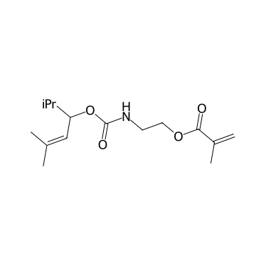 C=C(C)C(=O)OCCNC(=O)OC(C=C(C)C)C(C)C